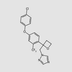 FC(F)(F)c1cc(Oc2ccc(Cl)cc2)ccc1C1(Cn2cncn2)CCO1